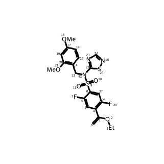 C=C(OCC)c1cc(F)c(S(=O)(=O)N(Cc2ccc(OC)cc2OC)c2ncns2)cc1F